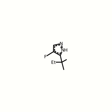 CCC(C)(C)c1[nH]ncc1F